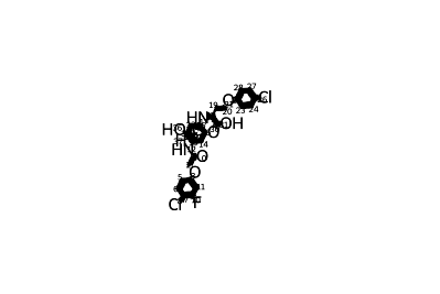 O=C(COc1ccc(Cl)c(F)c1)NC12CCC(N[C@@H](CCOc3ccc(Cl)cc3)C(=O)O)(CC1)C[C@@H]2O